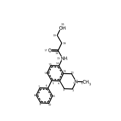 CN1CCc2c(-c3ccccc3)ccc(NC(=O)CCO)c2C1